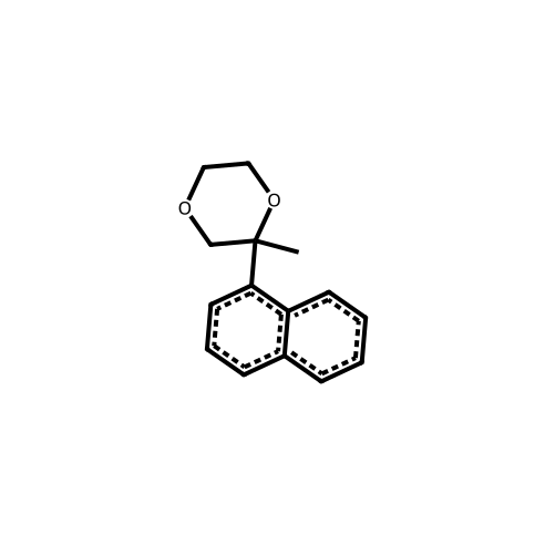 CC1(c2cccc3ccccc23)COCCO1